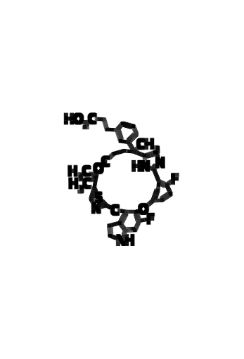 CC1(C)OCCCC(C)(c2cccc(CCC(=O)O)c2)c2cnc([nH]2)-c2cc(ccc2F)Oc2c(F)cc3[nH]ccc3c2Cc2ncc1s2